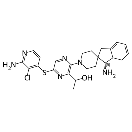 CC(O)c1nc(Sc2ccnc(N)c2Cl)cnc1N1CCC2(CC1)CC1=CC=CCC1[C@H]2N